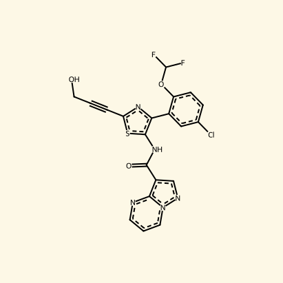 O=C(Nc1sc(C#CCO)nc1-c1cc(Cl)ccc1OC(F)F)c1cnn2cccnc12